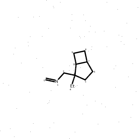 C=NCC1(CC)CCC2CCC21